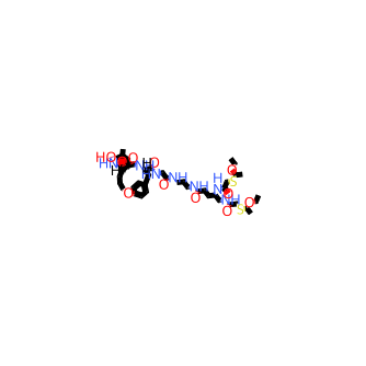 CCOC(C)SCC(=O)NCC(CCC(=O)NCCCNC(=O)CNC(=O)[C@@H]1Cc2ccc(cc2)OCCC[C@H](C(=O)NO)[C@@H](CC(C)C)C(=O)N1)NC(=O)CSC(C)OCC